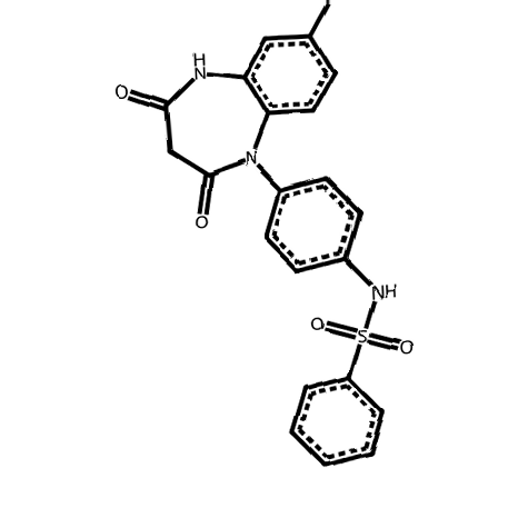 O=C1CC(=O)N(c2ccc(NS(=O)(=O)c3ccccc3)cc2)c2ccc(Br)cc2N1